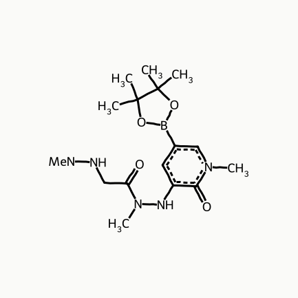 CNNCC(=O)N(C)Nc1cc(B2OC(C)(C)C(C)(C)O2)cn(C)c1=O